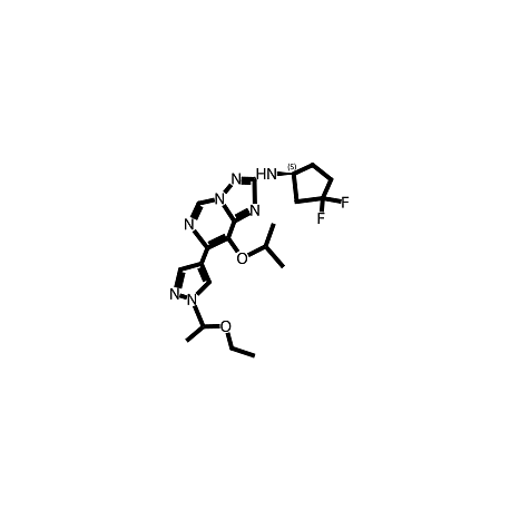 CCOC(C)n1cc(-c2ncn3nc(N[C@H]4CCC(F)(F)C4)nc3c2OC(C)C)cn1